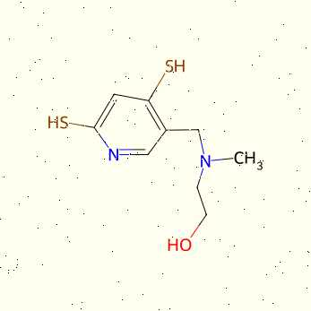 CN(CCO)Cc1cnc(S)cc1S